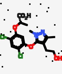 Cc1nn(C)c(Oc2cc(O[C@@H](C)C(=O)O)c(Cl)cc2Cl)c1CCO